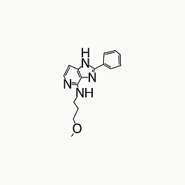 COCCCNc1nccc2[nH]c(-c3ccccc3)nc12